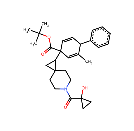 CC1=CC(C(=O)OC(C)(C)C)(C2CC23CCN(C(=O)C2(O)CC2)CC3)C=CC1c1ccccc1